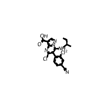 CCC(C)C.N#Cc1ccc(-c2c(Cl)nc3c(C(=O)O)cnn3c2N)c(Cl)c1